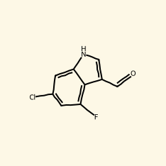 O=Cc1c[nH]c2cc(Cl)cc(F)c12